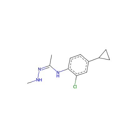 CN/N=C(/C)Nc1ccc(C2CC2)cc1Cl